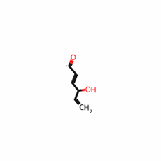 C=CC(O)C=C[C]=O